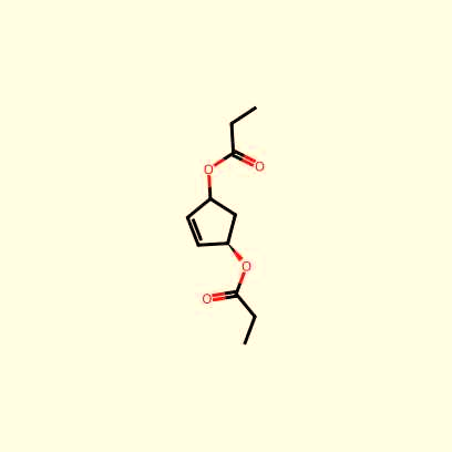 CCC(=O)OC1C=C[C@H](OC(=O)CC)C1